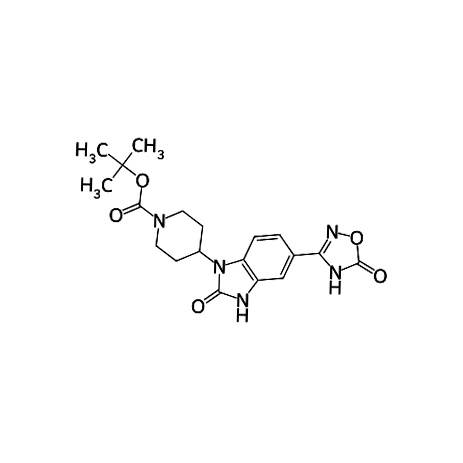 CC(C)(C)OC(=O)N1CCC(n2c(=O)[nH]c3cc(-c4noc(=O)[nH]4)ccc32)CC1